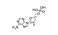 Nc1ncnc2c1ncn2[C@@H]1O[C@H](COP(=O)(O)O)C[C@@H]1F